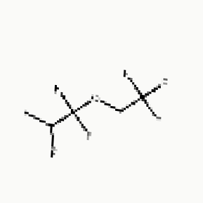 FC(F)C(F)(F)OCC(F)(F)F